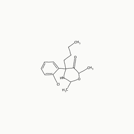 CCCCC1(c2ccccc2Cl)NC(C)OC(C)C1=O